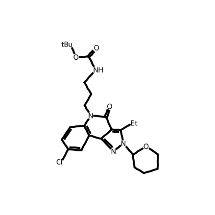 CCc1c2c(=O)n(CCCNC(=O)OC(C)(C)C)c3ccc(Cl)cc3c2nn1C1CCCCO1